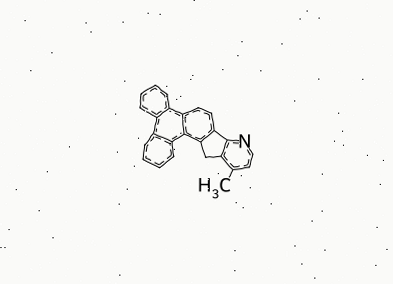 Cc1ccnc2c1Cc1c-2ccc2c3ccccc3c3ccccc3c12